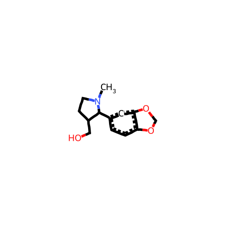 CN1CCC(CO)C1c1ccc2c(c1)OCO2